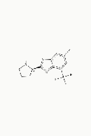 Cc1cc(C(F)(F)F)c2nc([C@H]3CCCN3)[nH]c2c1